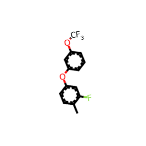 Cc1ccc(Oc2cccc(OC(F)(F)F)c2)cc1F